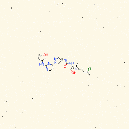 C=C(Cl)CC/C=C(\C)[C@@H](CO)NC(=O)N[C@H]1C=NN(C2=NC(NC(CO)CC(C)C)=NCC2)C1